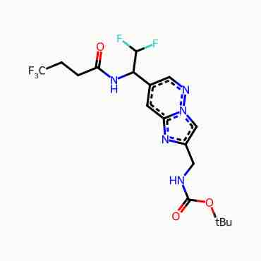 CC(C)(C)OC(=O)NCc1cn2ncc(C(NC(=O)CCC(F)(F)F)C(F)F)cc2n1